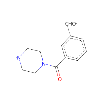 O=[C]c1cccc(C(=O)N2CC[N]CC2)c1